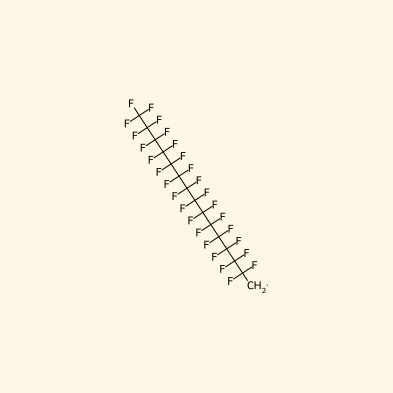 [CH2]C(F)(F)C(F)(F)C(F)(F)C(F)(F)C(F)(F)C(F)(F)C(F)(F)C(F)(F)C(F)(F)C(F)(F)C(F)(F)C(F)(F)C(F)(F)C(F)(F)F